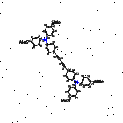 CSc1ccc(N(c2ccc(C#CC#Cc3ccc(N(c4ccc(SC)cc4)c4ccc(SC)cc4)cc3)cc2)c2ccc(SC)cc2)cc1